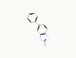 Cc1nc2ccc(-c3ccccc3)cc2[nH]1